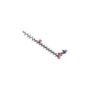 CCCCCCCCCCCCCC(=O)CCCCCCCCCCCCCCCC(=O)[P-]OCC[N+](C)(C)C